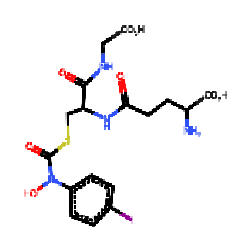 NC(CCC(=O)NC(CSC(=O)N(O)c1ccc(I)cc1)C(=O)NCC(=O)O)C(=O)O